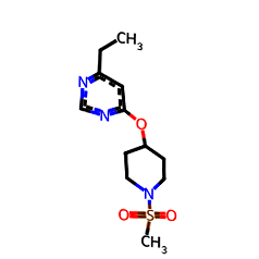 CCc1cc(OC2CCN(S(C)(=O)=O)CC2)ncn1